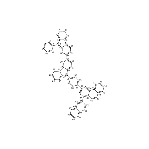 c1ccc(-n2c3ccccc3c3ccc(-c4ccc5c(c4)c4ccccc4n5-c4ccc(-c5nc(-c6ccc7ccccc7c6)c6ccc7ccccc7c6n5)cc4)cc32)cc1